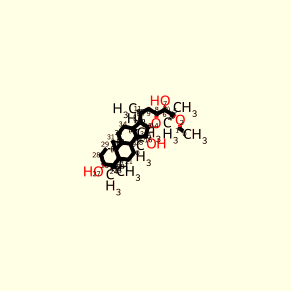 CCOC(C)(C)[C@H](O)C1C[C@@H](C)[C@H]2C(O1)[C@H](O)[C@@]1(C)C3CC[C@H]4C(C)(C)C(O)CC[C@@]45C[C@@]35CC[C@]21C